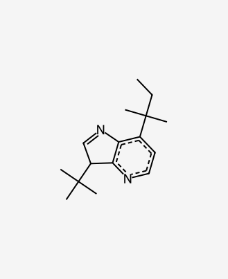 CCC(C)(C)c1ccnc2c1N=CC2C(C)(C)C